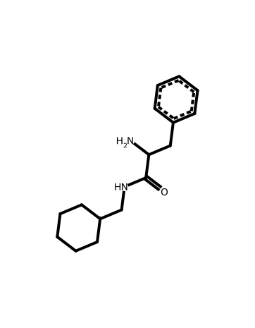 NC(Cc1ccccc1)C(=O)NC[C]1CCCCC1